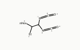 CCCCCCC(CC)C(N=C=O)N=C=O